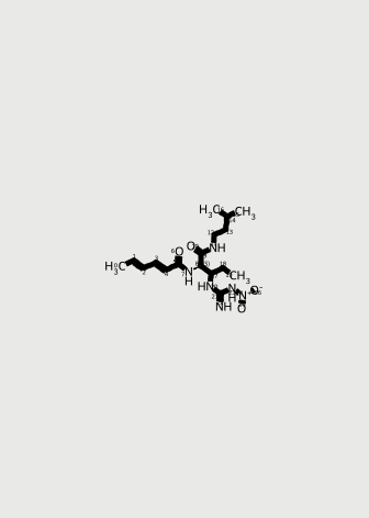 CC=CC=CC(=O)N[C@H](C(=O)NCCC(C)C)C(CC)NC(=N)N[N+](=O)[O-]